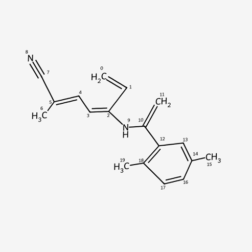 C=C/C(=C\C=C(/C)C#N)NC(=C)c1cc(C)ccc1C